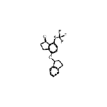 O=C1CCc2c(OC3CCc4ccccc43)ccc(SC(F)(F)F)c21